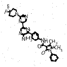 Cc1c(C(=O)Nc2ccc(-c3nc(-c4cncc(N5CCC(F)(F)CC5)n4)cnc3N)cc2)c(=O)n(-c2ccccc2)n1C